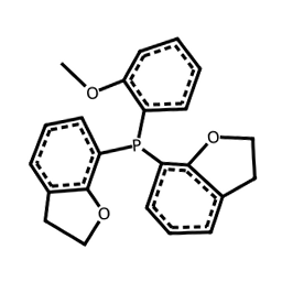 COc1ccccc1P(c1cccc2c1OCC2)c1cccc2c1OCC2